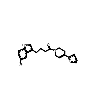 O=C(CCCc1c[nH]c2ccc(O)cc12)N1CC=C(c2cccs2)CC1